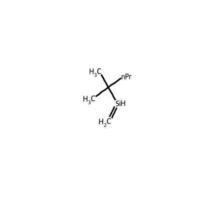 C=[SiH]C(C)(C)CCC